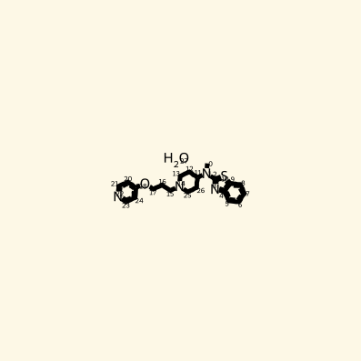 CN(c1nc2ccccc2s1)C1CCN(CCCOc2ccncc2)CC1.O